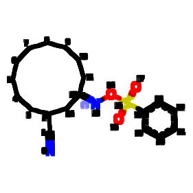 N#CC1CCCCCCCCC/C(=N\OS(=O)(=O)c2ccccc2)C1